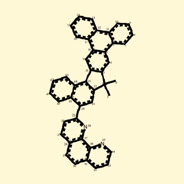 CC1(C)c2cc3c4ccccc4c4ccccc4c3cc2-c2c1cc(-c1ccc3ccc4cccnc4c3n1)c1ccccc21